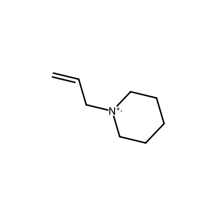 C=CC[N+]1CCCCC1